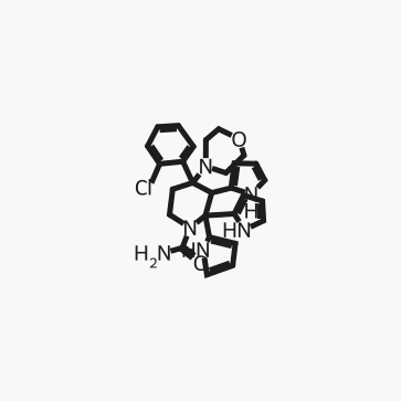 NC(=O)N1CCC(c2ccccc2Cl)(N2CCOCC2)C(c2ccc[nH]2)C1(c1ccc[nH]1)c1ccc[nH]1